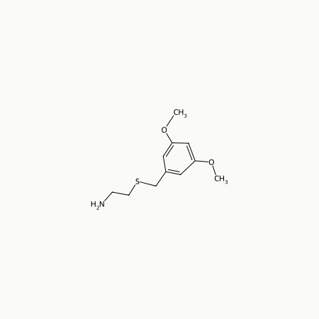 COc1cc(CSCCN)cc(OC)c1